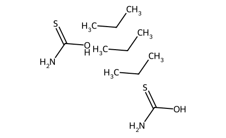 CCC.CCC.CCC.NC(O)=S.NC(O)=S